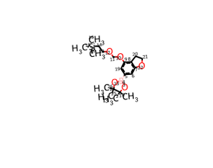 CC1(C)OB(c2cc3c(c(OCOCC[Si](C)(C)C)c2)CCO3)OC1(C)C